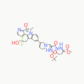 CCn1c(-c2cccnc2[C@H](C)OC)c(CC(F)(F)CO)c2cc(C3=CCCN(C[C@H](NC(=O)OC(C)(C)C)C(=O)N4CCC[C@@H](C(=O)OC)N4)C3)ccc21